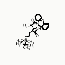 CC(C(=O)N1Cc2ccccc2OC12CCCCC2)[C@H]1NC(=O)[C@H]1CCO[Si](C)(C)C(C)(C)C